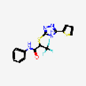 O=C(Nc1ccccc1)C(Sc1nnc(-c2cccs2)[nH]1)C(F)(F)F